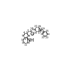 O=C(Cc1ccc2c(c1)NCCCC2)CC1CCN(Cc2ccccc2)CC1